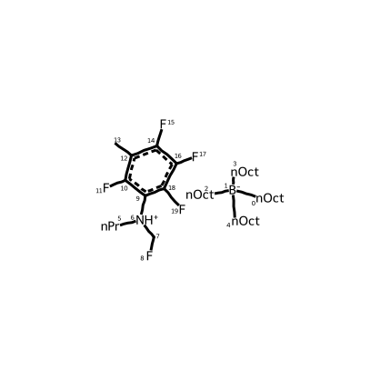 CCCCCCCC[B-](CCCCCCCC)(CCCCCCCC)CCCCCCCC.CCC[NH+](CF)c1c(F)c(C)c(F)c(F)c1F